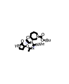 CN/C(=N/C(C)OC1CCNC1=O)N(/C=C\Cl)[C@@H]1CCCCN(C(=O)OC(C)(C)C)C1